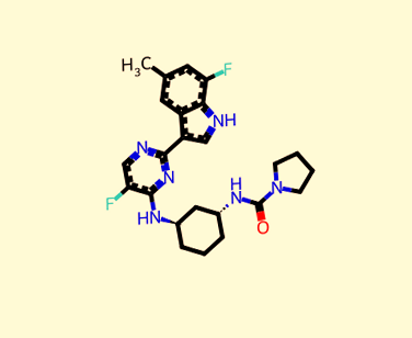 Cc1cc(F)c2[nH]cc(-c3ncc(F)c(N[C@@H]4CCC[C@@H](NC(=O)N5CCCC5)C4)n3)c2c1